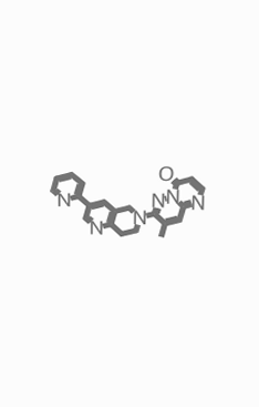 Cc1cc2nccc(=O)n2nc1N1CCc2ncc(-c3ccccn3)cc2C1